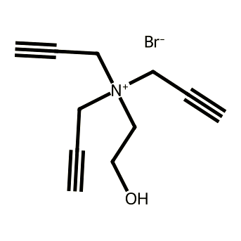 C#CC[N+](CC#C)(CC#C)CCO.[Br-]